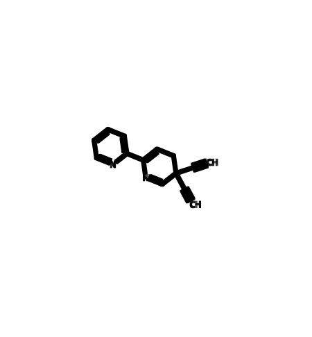 C#CC1(C#C)C=NC(c2ccccn2)=CC1